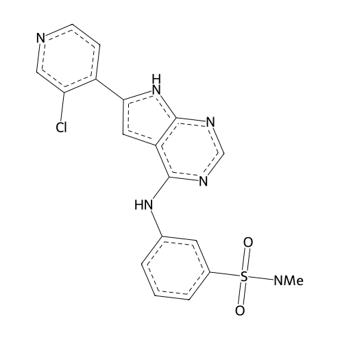 CNS(=O)(=O)c1cccc(Nc2ncnc3[nH]c(-c4ccncc4Cl)cc23)c1